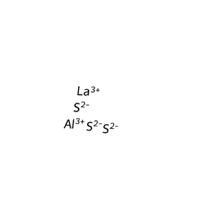 [Al+3].[La+3].[S-2].[S-2].[S-2]